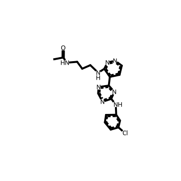 CC(=O)NCCCNc1nnccc1-c1ncnc(Nc2cccc(Cl)c2)n1